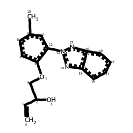 C=CC(O)COc1ccc(C)cc1-n1nc2ccccc2n1